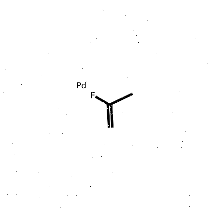 C=C(C)F.[Pd]